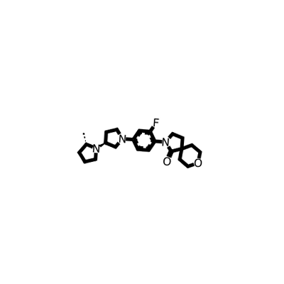 C[C@H]1CCCN1[C@H]1CCN(c2ccc(N3CCC4(CCOCC4)C3=O)c(F)c2)C1